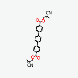 C[C@H](C#N)COC(=O)c1ccc(-c2ccc(-c3ccc(C(=O)OC[C@H](C)C#N)cc3)cc2)cc1